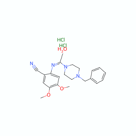 COc1cc(C#N)c(N=C(C)N2CCN(Cc3ccccc3)CC2)cc1OC.Cl.Cl.O